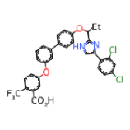 CCC(Oc1ccc(-c2cccc(Oc3ccc(C(F)(F)F)c(C(=O)O)c3)c2)cc1)c1nc(-c2ccc(Cl)cc2Cl)c[nH]1